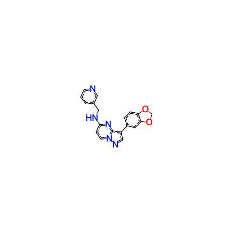 c1cncc(CNc2ccn3ncc(-c4ccc5c(c4)OCO5)c3n2)c1